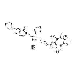 CCN1C(=O)C(C)(C)C(=O)N(C)c2cc(OCCCNC(CCn3ccc4oc(-c5ccccc5)cc4c3=O)c3ccncc3)ccc21.Cl.Cl